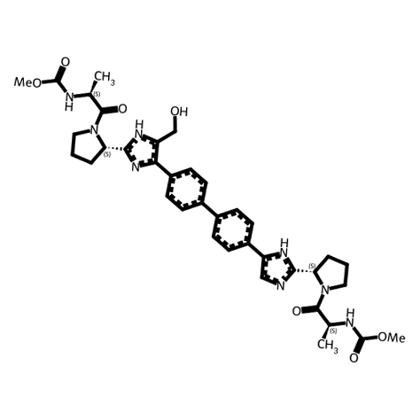 COC(=O)N[C@@H](C)C(=O)N1CCC[C@H]1c1ncc(-c2ccc(-c3ccc(-c4nc([C@@H]5CCCN5C(=O)[C@H](C)NC(=O)OC)[nH]c4CO)cc3)cc2)[nH]1